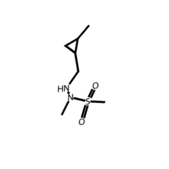 CC1CC1CNN(C)S(C)(=O)=O